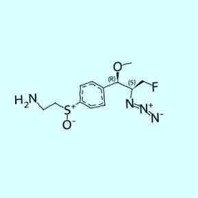 CO[C@H](c1ccc([S+]([O-])CCN)cc1)[C@@H](CF)N=[N+]=[N-]